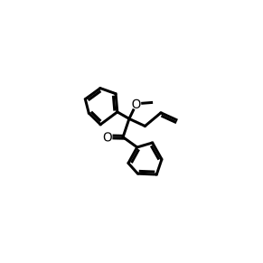 C=CCC(OC)(C(=O)c1ccccc1)c1ccccc1